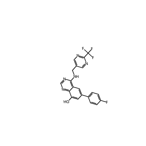 Oc1cc(-c2ccc(F)cc2)cc2c(NCc3cnc(C(F)(F)F)nc3)ncnc12